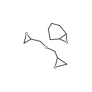 C(OCC1CO1)C1CO1.C1CCC2OC2C1